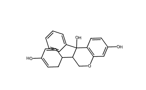 OC1=CCC(C2COc3cc(O)ccc3C2(O)c2ccccc2)C=C1